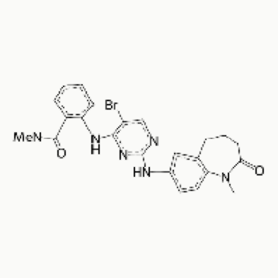 CNC(=O)c1ccccc1Nc1nc(Nc2ccc3c(c2)CCCC(=O)N3C)ncc1Br